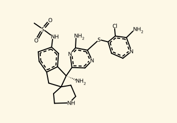 CS(=O)(=O)Nc1ccc2c(c1)[C@@](N)(c1cnc(Sc3ccnc(N)c3Cl)c(N)n1)C1(CCNCC1)C2